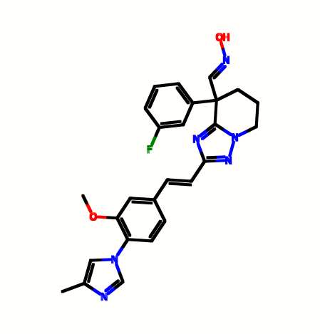 COc1cc(C=Cc2nc3n(n2)CCCC3(C=NO)c2cccc(F)c2)ccc1-n1cnc(C)c1